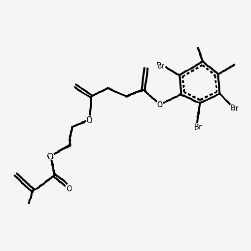 C=C(CCC(=C)Oc1c(Br)c(C)c(C)c(Br)c1Br)OCCOC(=O)C(=C)C